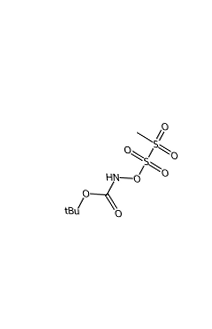 CC(C)(C)OC(=O)NOS(=O)(=O)S(C)(=O)=O